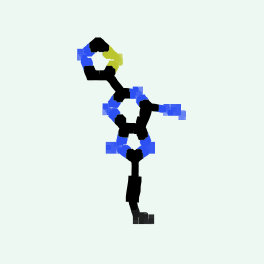 CCCCC#Cc1nc2c(N)nc(-c3cncs3)nc2[nH]1